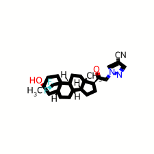 C[C@@]1(O)CCC2(C(F)F)[C@H](CC[C@@H]3[C@@H]2CC[C@]2(C)[C@@H](C(=O)Cn4cc(C#N)cn4)CC[C@@H]32)C1